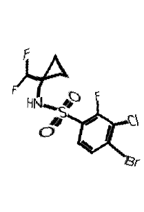 O=S(=O)(NC1(C(F)F)CC1)c1ccc(Br)c(Cl)c1F